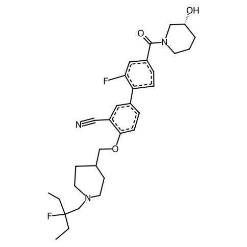 CCC(F)(CC)CN1CCC(COc2ccc(-c3ccc(C(=O)N4CCC[C@@H](O)C4)cc3F)cc2C#N)CC1